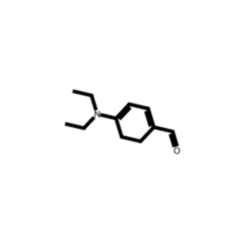 CCN(CC)C1=CC=C(C=O)CC1